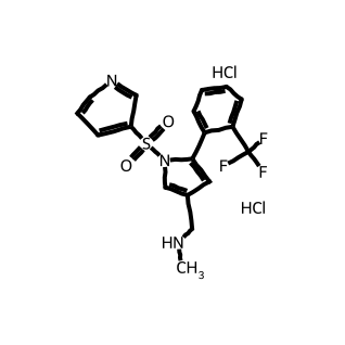 CNCc1cc(-c2ccccc2C(F)(F)F)n(S(=O)(=O)c2cccnc2)c1.Cl.Cl